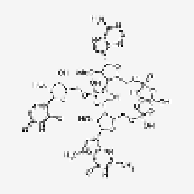 CO[C@@H]1[C@H](OP(=O)(O)OC[C@H]2O[C@@H](n3ccc(=O)[nH]c3=O)[C@H](O)[C@@H]2O)C(COP(=O)(O)OP(=O)(O)OP(=O)(O)OC[C@H]2O[C@@H](n3c[n+](C)c4c(=O)[nH]c(N)nc43)[C@H](O)[C@@H]2CO)O[C@H]1n1cnc2c(N)ncnc21